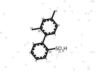 Cc1ccc(-c2ccccc2S(=O)(=O)O)c(C)c1